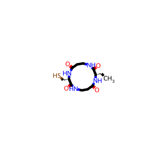 CC[C@@H]1NC(=O)CCNC(=O)[C@H](CS)NC(=O)CCNC1=O